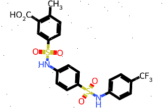 Cc1ccc(S(=O)(=O)Nc2ccc(S(=O)(=O)Nc3ccc(C(F)(F)F)cc3)cc2)cc1C(=O)O